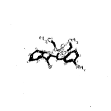 CCOP(=O)(OCC)C(Cc1cccc(N)c1)c1sc2ccccc2c1Br